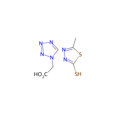 Cc1nnc(S)s1.O=C(O)Cn1cnnn1